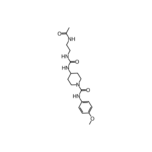 COc1ccc(NC(=O)N2CCC(NC(=O)NCCNC(C)=O)CC2)cc1